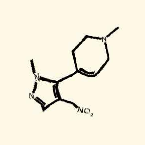 CN1CC=C(c2c([N+](=O)[O-])cnn2C)CC1